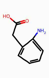 Nc1ccccc1CC(=O)O